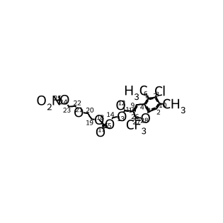 Cc1cc2c(c(C)c1Cl)C=C(C(=O)OCOC(=O)OCCOCCO[N+](=O)[O-])C(C(F)(F)F)O2